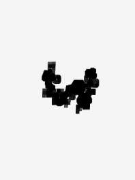 CC(NC(=O)OC(C)(C)C)c1cnc(F)cc1-c1cccc2cc(-c3nc(NCCn4cc[nH]c4=O)ncc3F)sc12